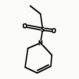 CCS(=O)(=O)N1CC=CCC1